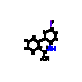 N#CC(Nc1ccc(I)cc1)c1ccccc1